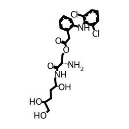 N[C@@H](COC(=O)Cc1ccccc1Nc1c(Cl)cccc1Cl)C(=O)NC[C@H](O)CCC(O)CO